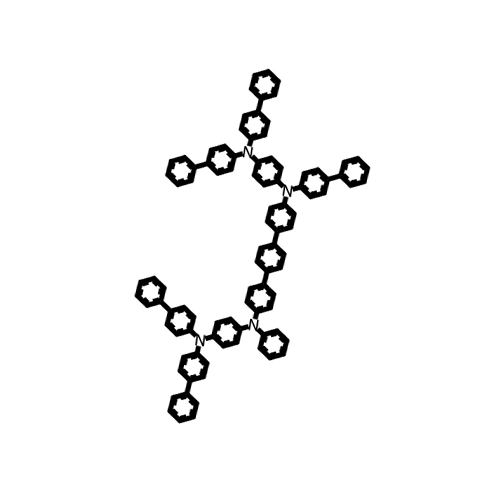 c1ccc(-c2ccc(N(c3ccc(-c4ccccc4)cc3)c3ccc(N(c4ccccc4)c4ccc(-c5ccc(-c6ccc(N(c7ccc(-c8ccccc8)cc7)c7ccc(N(c8ccc(-c9ccccc9)cc8)c8ccc(-c9ccccc9)cc8)cc7)cc6)cc5)cc4)cc3)cc2)cc1